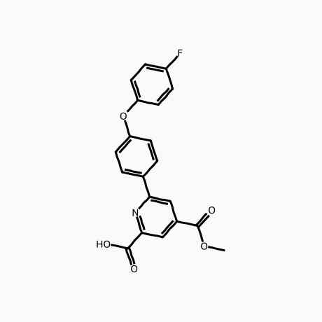 COC(=O)c1cc(C(=O)O)nc(-c2ccc(Oc3ccc(F)cc3)cc2)c1